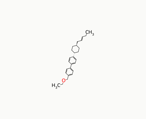 CCC=CC[C@H]1CC[C@H](c2ccc(-c3ccc(COCC)cc3)cc2)CC1